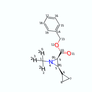 [2H]C([2H])([2H])N1[C@H](C2CC2)[C@@H]1C(=O)OCc1ccccc1